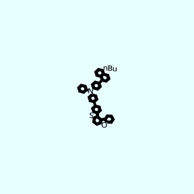 CCCCc1cccc2c(-c3ccc(N(c4ccccc4)c4ccc(-c5ccc6c(c5)sc5ccc7oc8ccccc8c7c56)cc4)cc3)cccc12